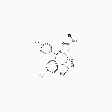 CCNC(=O)CC1N=C(c2ccc(Cl)cc2)C2=C(C=CC(C)C=C2)c2c(C)noc21